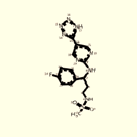 CS(=O)(=O)NCCC(Nc1ncc(-c2nnn[nH]2)cn1)c1ccc(F)cc1